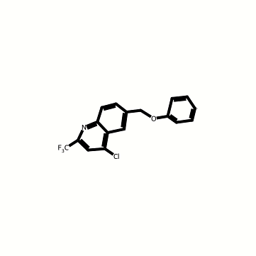 FC(F)(F)c1cc(Cl)c2cc(COc3cc[c]cc3)ccc2n1